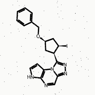 I[C@@H]1C[C@H](OCc2ccccc2)C[C@@H]1c1nnc2cnc3[nH]ccc3n12